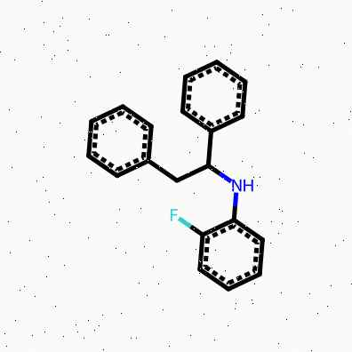 Fc1ccccc1NC(Cc1ccccc1)c1ccccc1